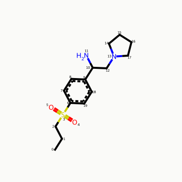 CCCS(=O)(=O)c1ccc(C(N)CN2CCCC2)cc1